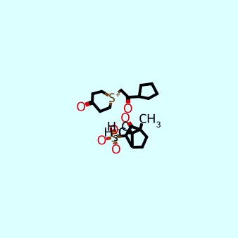 CC12CCC(C(S(=O)(=O)[O-])C1=O)C2(C)C.O=C1CC[S+](CC(=O)C2CCCC2)CC1